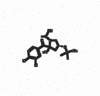 CCCC1(C(=O)c2ccc(Cl)c(Cl)c2)C[C@@H](O[Si](C)(C)C(C)(C)C)CN1B(C)O